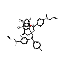 C=CCN(C)c1ccc(C(=CC2(C=C(c3ccc(C)cc3)c3ccc(N(C)CC=C)cc3)OC(=O)c3c(Cl)c(Cl)c(Cl)c(Cl)c32)c2ccc(C)cc2)cc1